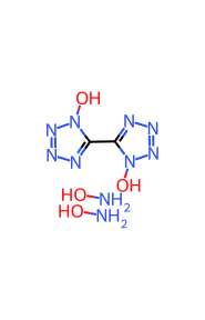 NO.NO.On1nnnc1-c1nnnn1O